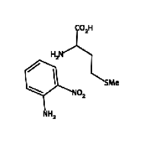 CSCCC(N)C(=O)O.Nc1ccccc1[N+](=O)[O-]